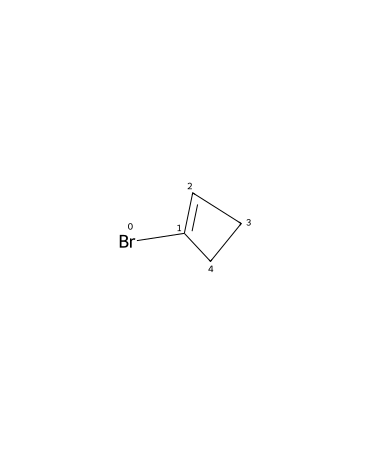 BrC1=CCC1